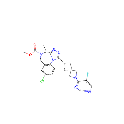 COC(=O)N1Cc2cc(Cl)ccc2-n2c(C3CC4(C3)CN(c3ncncc3F)C4)nnc2C1C